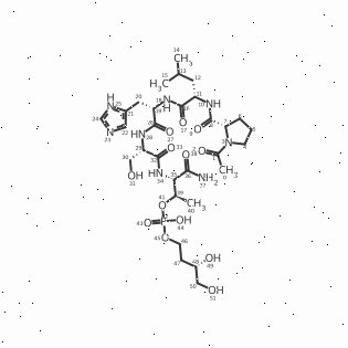 CC(=O)N1CCC[C@H]1C(=O)N[C@@H](CC(C)C)C(=O)N[C@@H](Cc1cnc[nH]1)C(=O)N[C@@H](CO)C(=O)N[C@H](C(N)=O)[C@@H](C)OP(=O)(O)OCC[C@H](O)CO